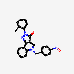 Cc1ccccc1-n1nc2c3ccccc3n(Cc3ccc(N=O)cc3)cc-2c1=O